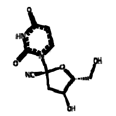 N#C[C@]1(n2ccc(=O)[nH]c2=O)C[C@H](O)[C@@H](CO)O1